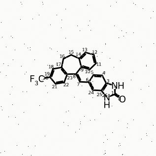 O=c1[nH]c2ccc(/C=C3\c4ccccc4CCc4cc(C(F)(F)F)ccc43)cc2[nH]1